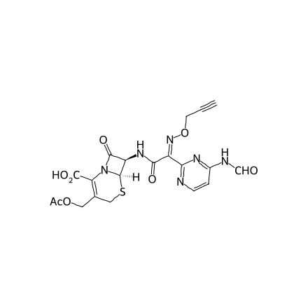 C#CCON=C(C(=O)N[C@@H]1C(=O)N2C(C(=O)O)=C(COC(C)=O)CS[C@H]12)c1nccc(NC=O)n1